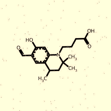 CC1CC(C)(C)N(CCCC(=O)O)c2cc(O)c(C=O)cc21